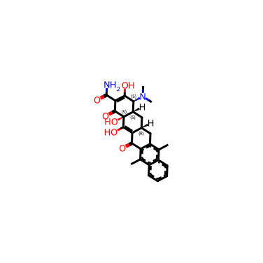 Cc1c2c(c(C)c3ccccc13)C(=O)C1=C(O)[C@]3(O)C(=O)C(C(N)=O)=C(O)[C@@H](N(C)C)[C@@H]3C[C@@H]1C2